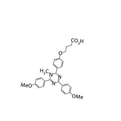 COc1ccc(C2=NC(c3ccc(OCCCC(=O)O)cc3)N(C)C(c3ccc(OC)cc3)=N2)cc1